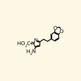 Nc1cc(CCc2ccc3c(c2)OCO3)nn1C(=O)O